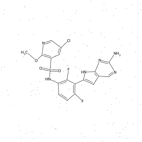 COc1ncc(Cl)cc1S(=O)(=O)Nc1ccc(F)c(-c2cc3cnc(N)nc3[nH]2)c1F